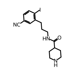 N#Cc1ccc(I)c(CCCNC(=O)C2CCNCC2)c1